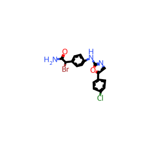 NC(=O)C(Br)c1ccc(Nc2ncc(-c3ccc(Cl)cc3)o2)cc1